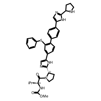 COC(=O)N[C@H](C(=O)N1CCC[C@H]1c1ncc(-c2ccc(-c3ccc(-c4cnc(C5CCCN5)[nH]4)cc3)c(Sc3ccccc3)c2)[nH]1)C(C)C